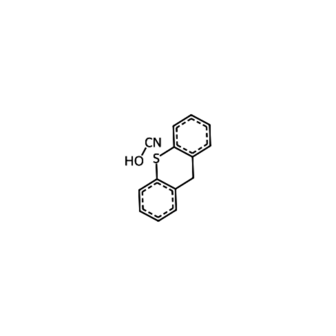 N#CO.c1ccc2c(c1)Cc1ccccc1S2